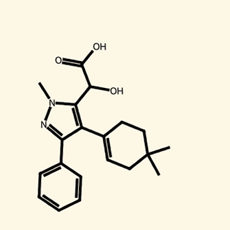 Cn1nc(-c2ccccc2)c(C2=CCC(C)(C)CC2)c1C(O)C(=O)O